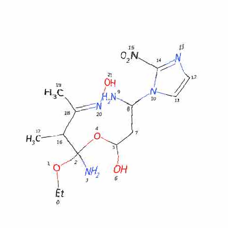 CCOC(N)(OC(O)CC(N)n1ccnc1[N+](=O)[O-])C(C)C(C)=NO